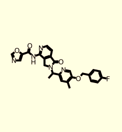 Cc1cc(C(C)N2Cc3c(ccnc3NC(=O)c3cnco3)C2=O)ncc1OCc1ccc(F)cc1